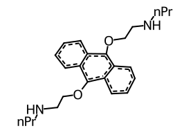 CCCNCCOc1c2ccccc2c(OCCNCCC)c2ccccc12